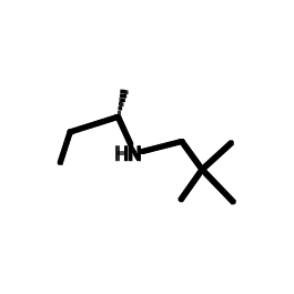 CC[C@H](C)NCC(C)(C)C